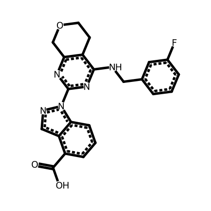 O=C(O)c1cccc2c1cnn2-c1nc2c(c(NCc3cccc(F)c3)n1)CCOC2